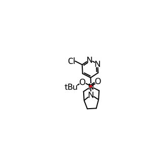 CC(C)(C)OC(=O)N1C2CCC1CN(c1cnnc(Cl)c1)C2